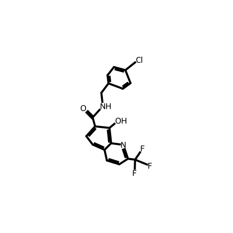 O=C(NCc1ccc(Cl)cc1)c1ccc2ccc(C(F)(F)F)nc2c1O